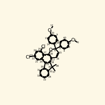 COc1ccc(C2(c3ccc(OC)cc3)C=Cc3c4c(c5cc(Cl)cc(Cl)c5c3O2)-c2ccccc2C4(C)C)cc1